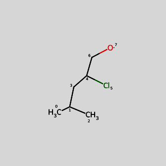 CC(C)CC(Cl)C[O]